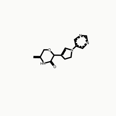 C=C1COC(C2=CN(c3cncnc3)CC2)C(=O)N1